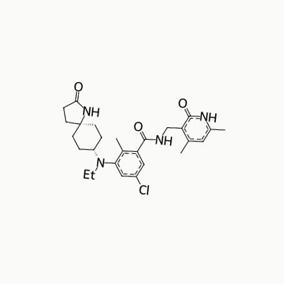 CCN(c1cc(Cl)cc(C(=O)NCc2c(C)cc(C)[nH]c2=O)c1C)[C@H]1CC[C@@]2(CCC(=O)N2)CC1